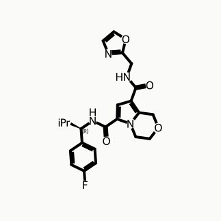 CC(C)[C@@H](NC(=O)c1cc(C(=O)NCc2ncco2)c2n1CCOC2)c1ccc(F)cc1